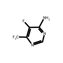 Nc1ncnc(C(F)(F)F)c1F